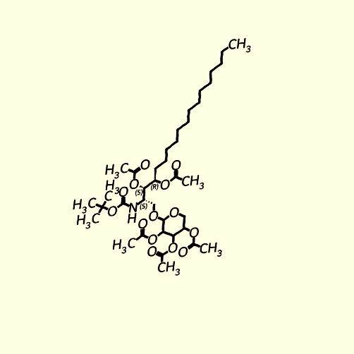 CCCCCCCCCCCCCC[C@@H](OC(C)=O)[C@@H](OC(C)=O)[C@H](COC1OCC(OC(C)=O)C(OC(C)=O)C1OC(C)=O)NC(=O)OC(C)(C)C